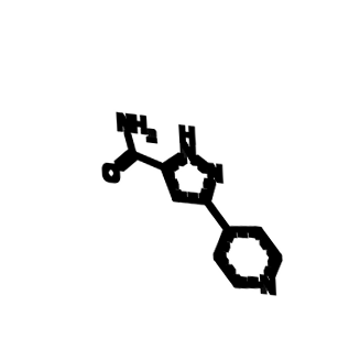 NC(=O)c1cc(-c2ccncc2)n[nH]1